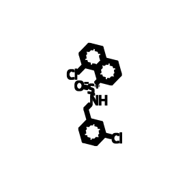 [O-][S+](NCc1cccc(Cl)c1)c1cccc2cccc(Cl)c12